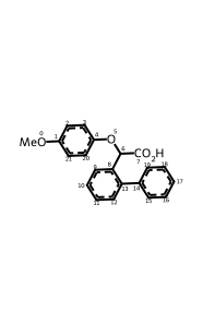 COc1ccc(OC(C(=O)O)c2ccccc2-c2ccccc2)cc1